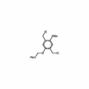 CCCC(C)COc1cc(CCl)c(OC)cc1CCl